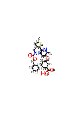 Cc1cc(CNC(=O)OCc2ccccc2)c(-c2ccc(O[C@H]3CCC[C@H](C(=O)O)C3)c(C)n2)s1